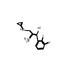 CC(c1cccc(Cl)c1F)C(N)CNC1CC1.Cl